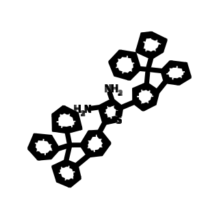 Nc1c(-c2ccc3c(c2)C(c2ccccc2)(c2ccccc2)c2ccccc2-3)sc(-c2ccc3c(c2)C(c2ccccc2)(c2ccccc2)c2ccccc2-3)c1N